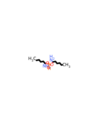 CCCCCC(N)O[PH](=O)OC(N)CCCCC